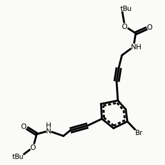 CC(C)(C)OC(=O)NCC#Cc1cc(Br)cc(C#CCNC(=O)OC(C)(C)C)c1